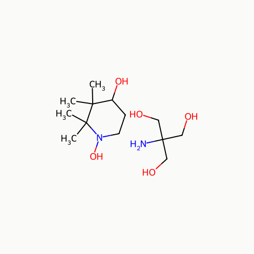 CC1(C)C(O)CCN(O)C1(C)C.NC(CO)(CO)CO